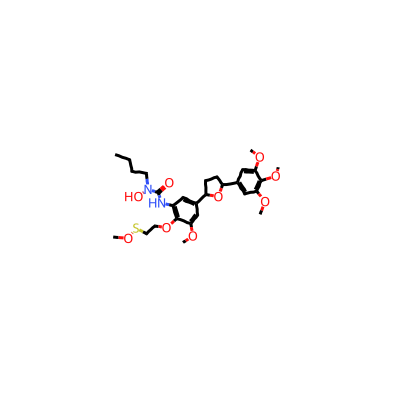 CCCCN(O)C(=O)Nc1cc(C2CCC(c3cc(OC)c(OC)c(OC)c3)O2)cc(OC)c1OCCSOC